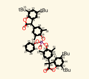 Cc1cc(C2C(=O)Oc3c2cc(C(C)(C)C)cc3C(C)(C)C)cc(C)c1OP(=O)(Oc1ccccc1)Oc1c(C)cc(C2(C)C(=O)Oc3c(C(C)(C)C)cc(C(C)(C)C)cc32)cc1C